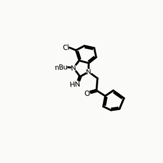 CCCCn1c(=N)n(CC(=O)c2ccccc2)c2cccc(Cl)c21